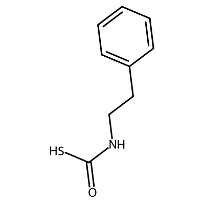 O=C(S)NCCc1ccccc1